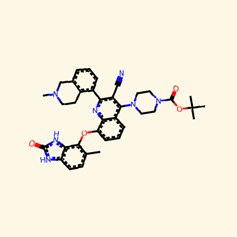 Cc1ccc2[nH]c(=O)[nH]c2c1Oc1cccc2c(N3CCN(C(=O)OC(C)(C)C)CC3)c(C#N)c(-c3cccc4c3CCN(C)C4)nc12